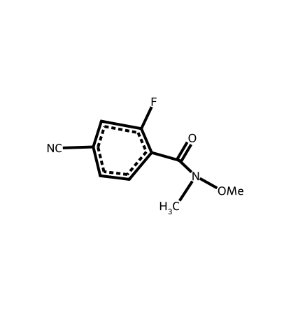 CON(C)C(=O)c1ccc(C#N)cc1F